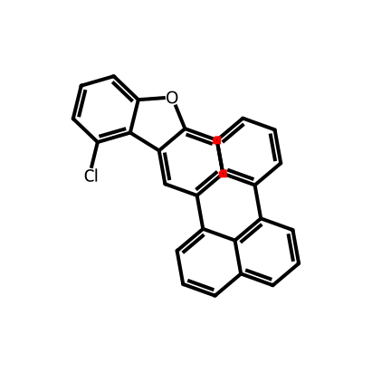 Clc1cccc2oc3ccc(-c4cccc5cccc(-c6ccccc6)c45)cc3c12